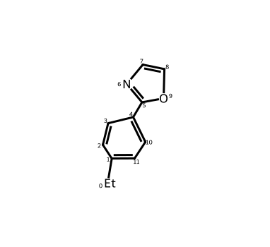 [CH2]Cc1ccc(-c2ncco2)cc1